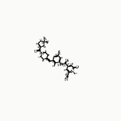 Cc1c(C=C2CCN(C(=O)C3CCC(F)(F)C3)CC2)cc(F)cc1NC(=O)c1cc(C#N)n(C)c(=O)c1